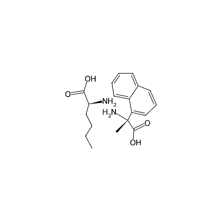 CCCC[C@H](N)C(=O)O.C[C@](N)(C(=O)O)c1cccc2ccccc12